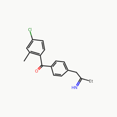 CCC(=N)Cc1ccc(C(=O)c2ccc(Cl)cc2C)cc1